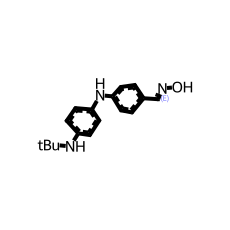 CC(C)(C)Nc1ccc(Nc2ccc(/C=N/O)cc2)cc1